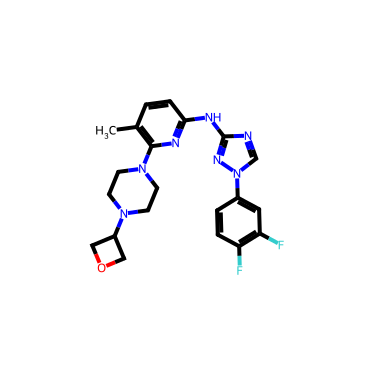 Cc1ccc(Nc2ncn(-c3ccc(F)c(F)c3)n2)nc1N1CCN(C2COC2)CC1